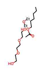 CCCCCCOC(C)=O.CCOCC.OCCOCCOCCO